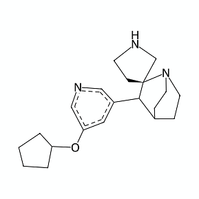 c1ncc(C2C3CCN(CC3)[C@]23CCNC3)cc1OC1CCCC1